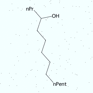 [CH2]CCC(O)CCCCCCCCCC